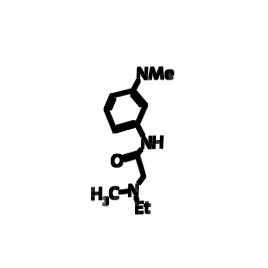 CCN(C)CC(=O)Nc1cccc(NC)c1